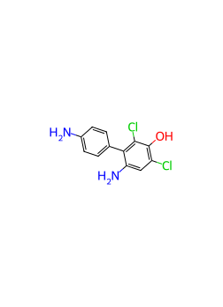 Nc1ccc(-c2c(N)cc(Cl)c(O)c2Cl)cc1